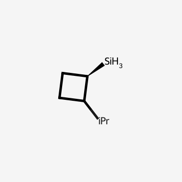 CC(C)C1CC[C@H]1[SiH3]